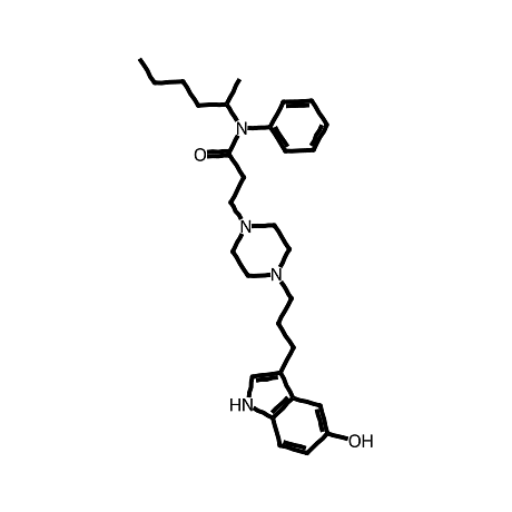 CCCCC(C)N(C(=O)CCN1CCN(CCCc2c[nH]c3ccc(O)cc23)CC1)c1ccccc1